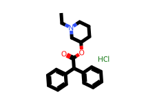 CCN1CCCC(OC(=O)C(c2ccccc2)c2ccccc2)C1.Cl